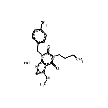 CCCCn1c(=O)c2c(NC)[nH]nc2n(Cc2ccc(N)cc2)c1=O.Cl